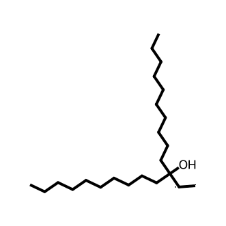 C[CH]C(O)(CCCCCCCCCC)CCCCCCCCCC